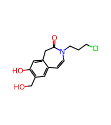 O=C1Cc2cc(O)c(CO)cc2C=CN1CCCCl